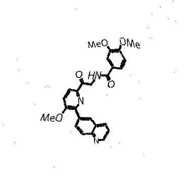 COc1ccc(C(=O)NCC(=O)c2ccc(OC)c(-c3ccc4ncccc4c3)n2)cc1OC